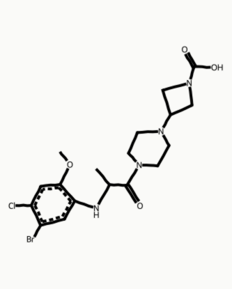 COc1cc(Cl)c(Br)cc1NC(C)C(=O)N1CCN(C2CN(C(=O)O)C2)CC1